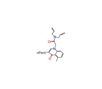 C=CCN(CC=C)C(=O)Cn1cc(CCCCC)c(=O)c2c(C)cccc21